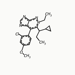 CCC(c1c(-c2ccc(OC)cc2Cl)c2ncnc-2nn1CC)C1CC1